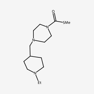 CCN1CCC(CN2CCN(C(=O)SC)CC2)CC1